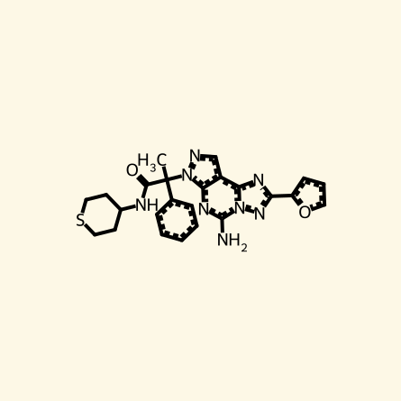 CC(C(=O)NC1CCSCC1)(c1ccccc1)n1ncc2c1nc(N)n1nc(-c3ccco3)nc21